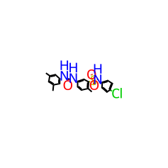 Cc1cc(C)cc(NC(=O)Nc2ccc(C)c(S(=O)(=O)Nc3ccc(Cl)cc3)c2)c1